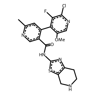 COc1cnc(Cl)c(F)c1-c1cc(C)ncc1C(=O)Nc1nc2c(s1)CNCC2